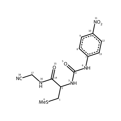 CSCC(NC(=O)Nc1ccc([N+](=O)[O-])cc1)C(=O)NCC#N